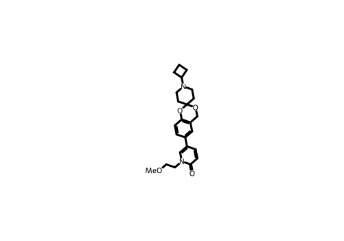 COCCn1cc(-c2ccc3c(c2)COC2(CCN(C4CCC4)CC2)O3)ccc1=O